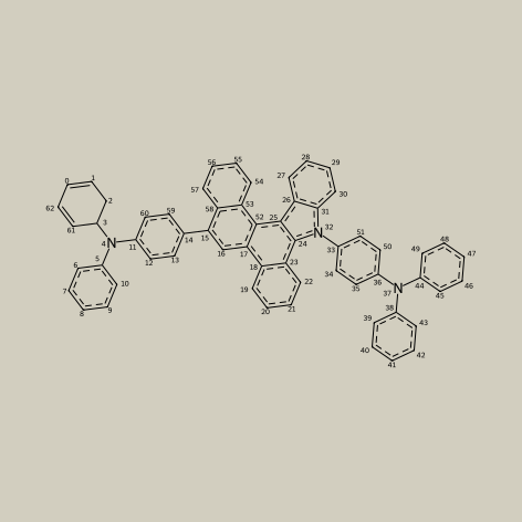 C1=CCC(N(c2ccccc2)c2ccc(-c3cc4c5ccccc5c5c(c6ccccc6n5-c5ccc(N(c6ccccc6)c6ccccc6)cc5)c4c4ccccc34)cc2)C=C1